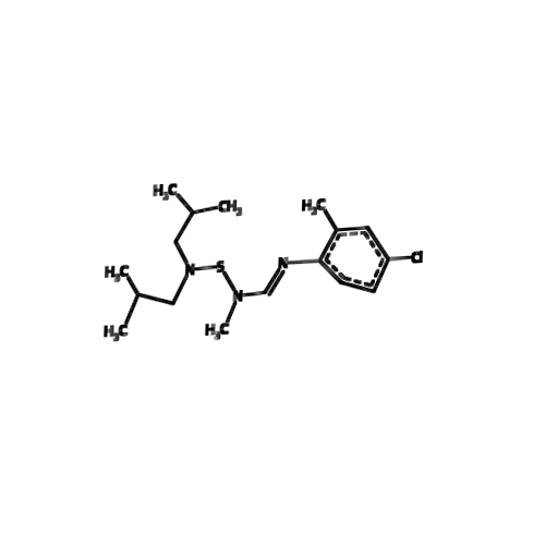 Cc1cc(Cl)ccc1/N=C/N(C)SN(CC(C)C)CC(C)C